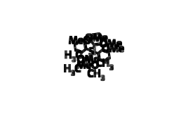 COc1cccc(OC)c1[Si](C1=C(C)C(C)=C(C)C1C)(c1c(OC)cccc1OC)c1c(OC)cccc1OC